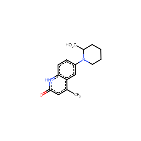 O=C(O)C1CCCCN1c1ccc2[nH]c(=O)cc(C(F)(F)F)c2c1